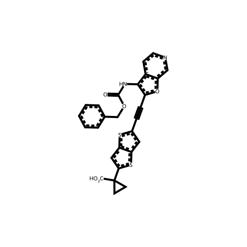 O=C(Nc1c(C#Cc2cc3sc(C4(C(=O)O)CC4)cc3s2)oc2cnccc12)OCc1ccccc1